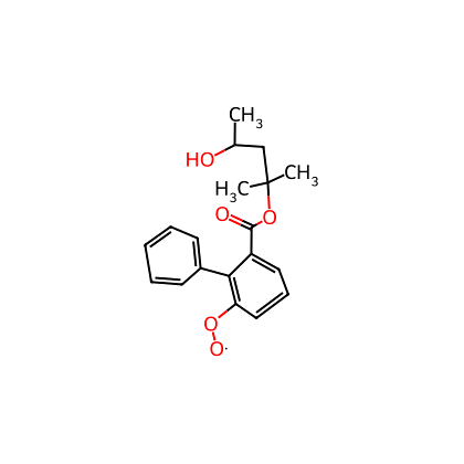 CC(O)CC(C)(C)OC(=O)c1cccc(O[O])c1-c1ccccc1